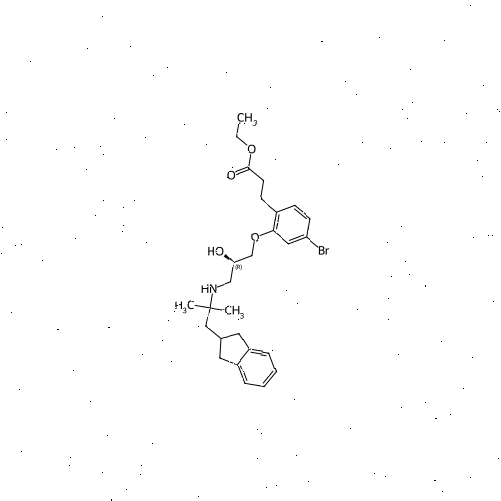 CCOC(=O)CCc1ccc(Br)cc1OC[C@H](O)CNC(C)(C)CC1Cc2ccccc2C1